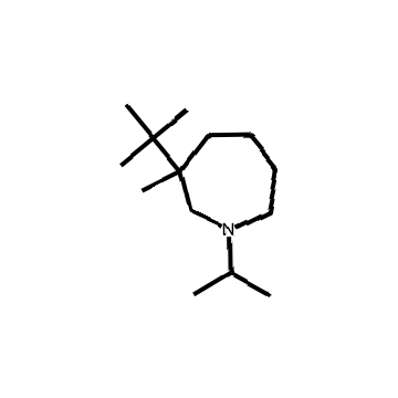 CC(C)N1CCCCC(C)(C(C)(C)C)C1